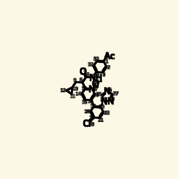 CC(=O)c1ccc(NC(=O)C(CC2CC2)c2ccc(-c3cc(Cl)ccc3-n3cncn3)c[n+]2[O-])cc1